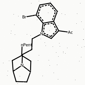 CCCCCC1CC2CCC(C1)N2CCCn1cc(C(C)=O)c2cccc(Br)c21